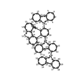 N#Cc1c(-n2c3ccccc3c3ccccc32)ccc(-n2c3ccccc3c3c(-n4c5ccccc5c5ccccc54)cccc32)c1-c1cccc2sc3ccccc3c12